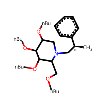 CCCCOCC1C(OCCCC)C(OCCCC)C(OCCCC)CN1C[C@H](C)c1ccccc1